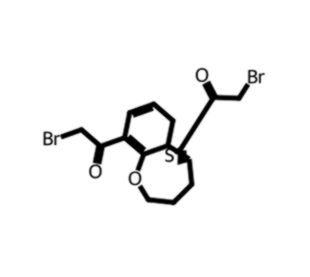 O=C(CBr)C1=CC2CCCOC3=C(C(=O)CBr)C=CCC32S1